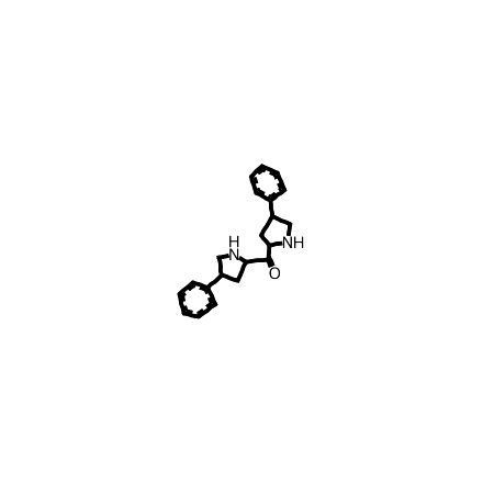 O=C(C1CC(c2ccccc2)CN1)C1CC(c2ccccc2)CN1